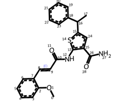 COc1ccccc1/C=C/C(=O)Nc1sc(C(C)c2ccccc2)cc1C(N)=O